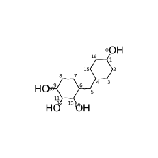 OC1CCC(CC2CCC(O)C(O)C2O)CC1